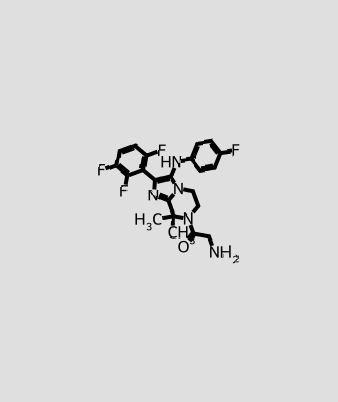 CC1(C)c2nc(-c3c(F)ccc(F)c3F)c(Nc3ccc(F)cc3)n2CCN1C(=O)CN